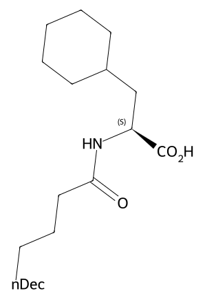 CCCCCCCCCCCCCC(=O)N[C@@H](CC1CCCCC1)C(=O)O